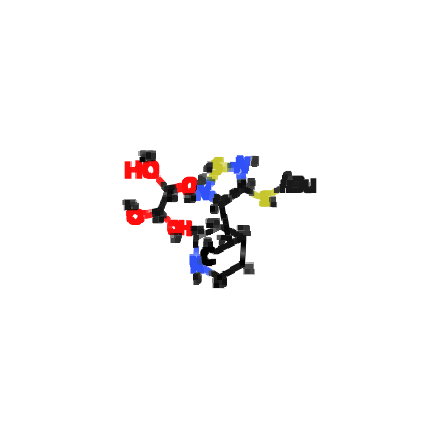 CCCCSc1nsnc1C1CN2CCC1CC2.O=C(O)C(=O)O